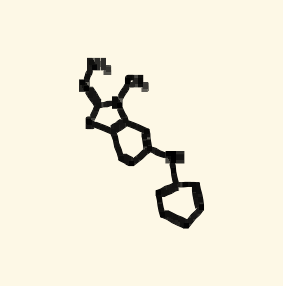 Cn1c(=NN)sc2ccc(Nc3ccccc3)cc21